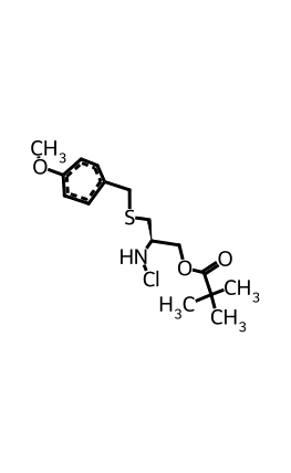 COc1ccc(CSC[C@@H](COC(=O)C(C)(C)C)NCl)cc1